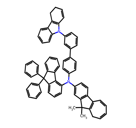 CC1(C)C2=C(C=CC=CC2)c2ccc(N(c3ccc(-c4cccc(-n5c6c(c7ccccc75)CCC=C6)c4)cc3)c3cccc4c3-c3ccccc3C4(c3ccccc3)c3ccccc3)cc21